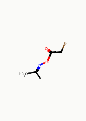 CC(=NOC(=O)CBr)C(=O)O